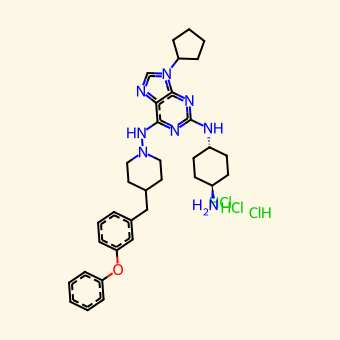 Cl.Cl.Cl.N[C@H]1CC[C@H](Nc2nc(NN3CCC(Cc4cccc(Oc5ccccc5)c4)CC3)c3ncn(C4CCCC4)c3n2)CC1